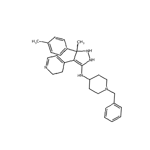 Cc1ccc(C2(C)NNC(NC3CCN(Cc4ccccc4)CC3)=C2C2=CC=NCC2)cc1